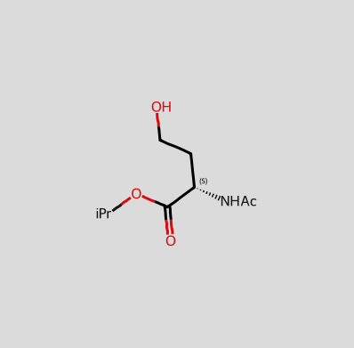 CC(=O)N[C@@H](CCO)C(=O)OC(C)C